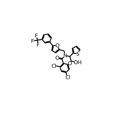 O=C(O)C(c1cccs1)N(Cc1ccc(-c2cccc(C(F)(F)F)c2)o1)C(=O)c1ccc(Cl)cc1Cl